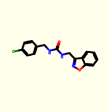 O=C(NCc1ccc(Cl)cc1)NCc1noc2ccccc12